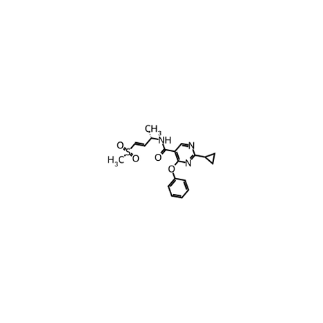 C[C@@H](/C=C/S(C)(=O)=O)NC(=O)c1cnc(C2CC2)nc1Oc1ccccc1